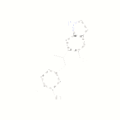 CC(C)c1ccc(CC(C)c2cc3[nH]ccc3cc2C(C)C)cc1C(C)C